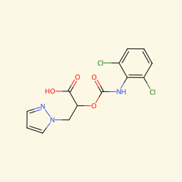 O=C(Nc1c(Cl)cccc1Cl)OC(Cn1cccn1)C(=O)O